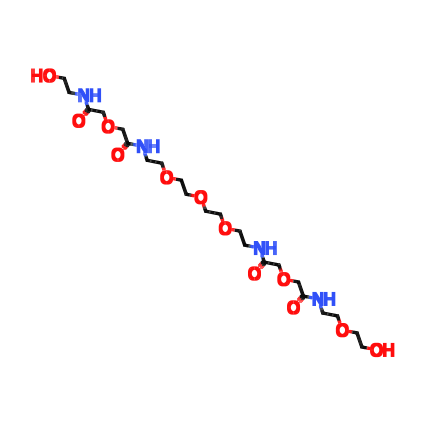 O=C(COCC(=O)NCCOCCOCCOCCNC(=O)COCC(=O)NCCOCCO)NCCO